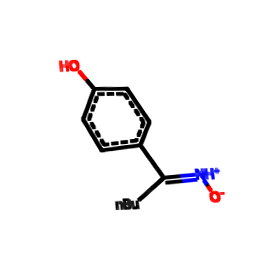 CCCCC(=[NH+][O-])c1ccc(O)cc1